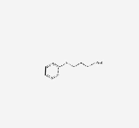 CCCCCCCC[N]c1ccccc1